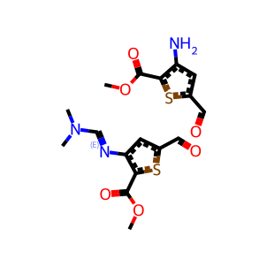 COC(=O)c1sc(C=O)cc1/N=C/N(C)C.COC(=O)c1sc(C=O)cc1N